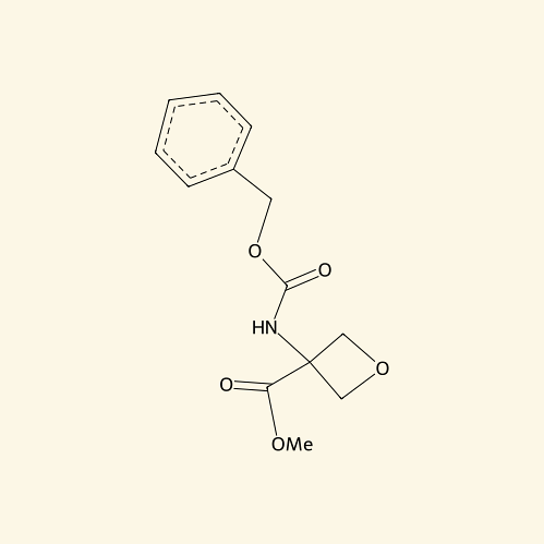 COC(=O)C1(NC(=O)OCc2ccccc2)COC1